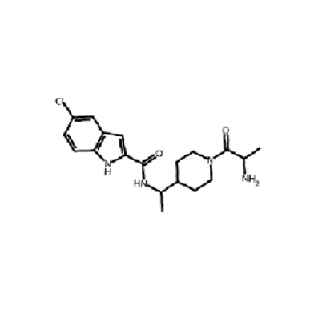 CC(N)C(=O)N1CCC(C(C)NC(=O)c2cc3cc(Cl)ccc3[nH]2)CC1